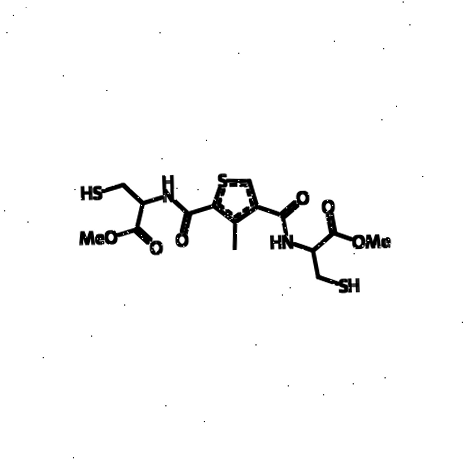 COC(=O)C(CS)NC(=O)c1csc(C(=O)NC(CS)C(=O)OC)c1C